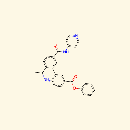 CC(N)c1ccc(C(=O)Nc2ccncc2)cc1-c1cccc(C(=O)Oc2ccccc2)c1